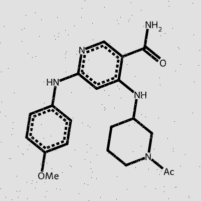 COc1ccc(Nc2cc(NC3CCCN(C(C)=O)C3)c(C(N)=O)cn2)cc1